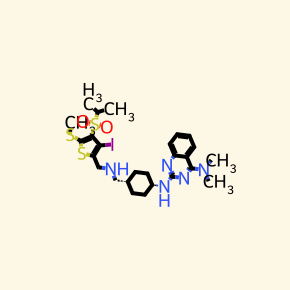 CSc1sc(CNC[C@H]2CC[C@@H](Nc3nc(N(C)C)c4ccccc4n3)CC2)c(I)c1S(=O)(=O)C(C)C